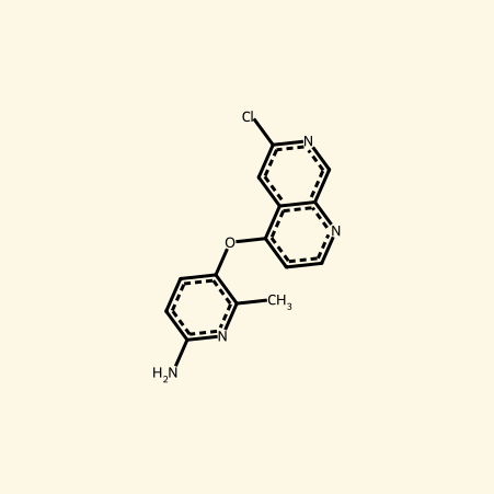 Cc1nc(N)ccc1Oc1ccnc2cnc(Cl)cc12